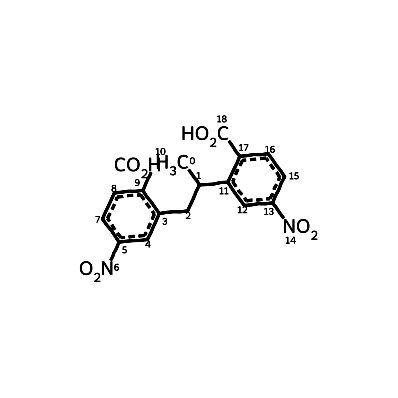 CC(Cc1cc([N+](=O)[O-])ccc1C(=O)O)c1cc([N+](=O)[O-])ccc1C(=O)O